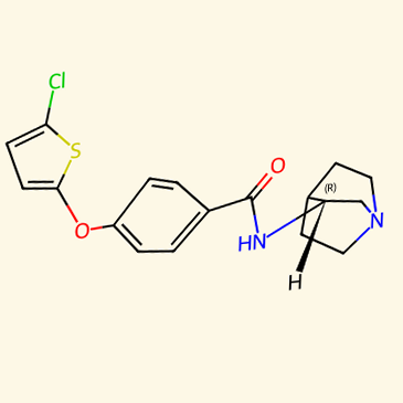 O=C(N[C@H]1CN2CCC1CC2)c1ccc(Oc2ccc(Cl)s2)cc1